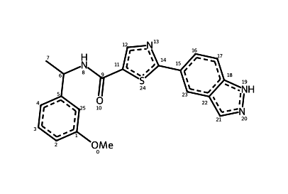 COc1cccc(C(C)NC(=O)c2cnc(-c3ccc4[nH]ncc4c3)s2)c1